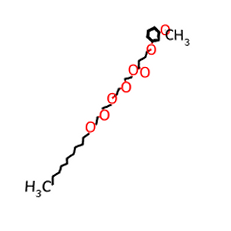 CCCCCCCCCCCCOCCOCCOCCOCCOC(=O)CCCOc1cccc(OC)c1